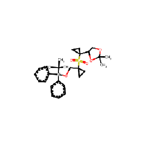 CC1(C)OCC(C2(S(=O)(=O)C3(CO[Si](c4ccccc4)(c4ccccc4)C(C)(C)C)CC3)CC2)O1